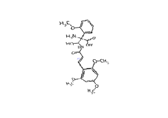 COc1cc(OC)c(/C=C/C(=O)NC(O)C(N)(C(=O)O)c2ccccc2OC)c(OC)c1